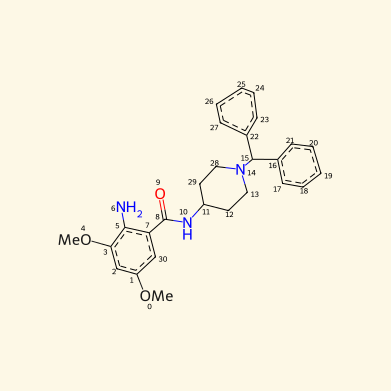 COc1cc(OC)c(N)c(C(=O)NC2CCN(C(c3ccccc3)c3ccccc3)CC2)c1